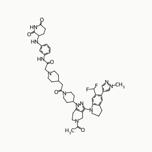 CC(=O)N1CCc2c(c(N3CCCc4cc(-c5cnn(C)c5)c(C(F)F)cc43)nn2C2CCN(C(=O)CC3CCN(CC(=O)Nc4cccc(NC5CCC(=O)NC5=O)c4)CC3)CC2)C1